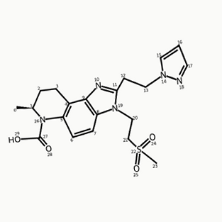 C[C@H]1CCc2c(ccc3c2nc(CCn2cccn2)n3CCS(C)(=O)=O)N1C(=O)O